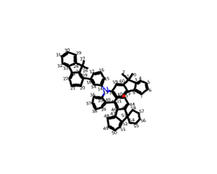 CC1(C)c2ccccc2-c2ccc(N(c3cccc(-c4cccc5c4C(C)(C)c4ccccc4-5)c3)c3ccccc3-c3cccc4c3-c3ccccc3C43CCCCC3)cc21